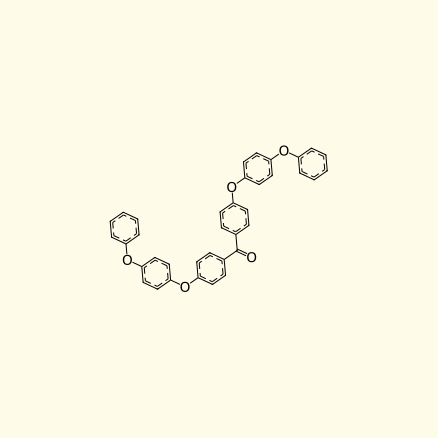 O=C(c1ccc(Oc2ccc(Oc3ccccc3)cc2)cc1)c1ccc(Oc2ccc(Oc3ccccc3)cc2)cc1